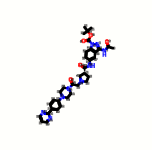 CC(=O)Nc1nn(C(=O)OC(C)(C)C)c2ccc(NC(=O)[C@@H]3CCN(CC(=O)N4CCN(c5ccc(-c6ncccn6)cc5)CC4)C3)cc12